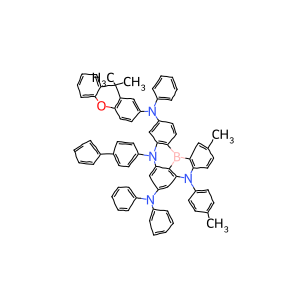 Cc1ccc(N2c3ccc(C)cc3B3c4ccc(N(c5ccccc5)c5ccc6c(c5)C(C)(C)c5ccccc5O6)cc4N(c4ccc(-c5ccccc5)cc4)c4cc(N(c5ccccc5)c5ccccc5)cc2c43)cc1